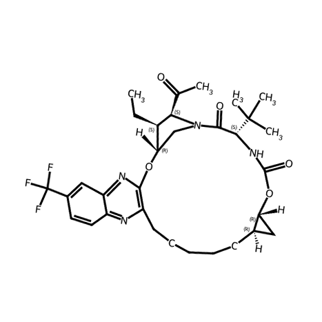 CC[C@@H]1[C@@H]2CN(C(=O)[C@H](C(C)(C)C)NC(=O)O[C@@H]3C[C@H]3CCCCCc3nc4ccc(C(F)(F)F)cc4nc3O2)[C@@H]1C(C)=O